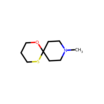 CN1CCC2(CC1)OCCCS2